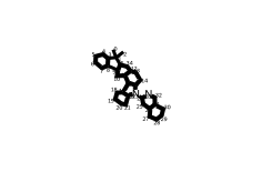 CC1(C)c2ccccc2-c2cc3c(ccc4c3c3ccccc3n4-c3cc4ccccc4cn3)cc21